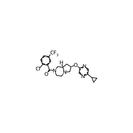 O=C(c1cc(C(F)(F)F)ccc1Cl)N1CCN2C[C@H](Oc3cnc(C4CC4)cn3)C[C@H]2C1